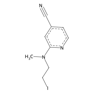 CN(CCI)c1cc(C#N)ccn1